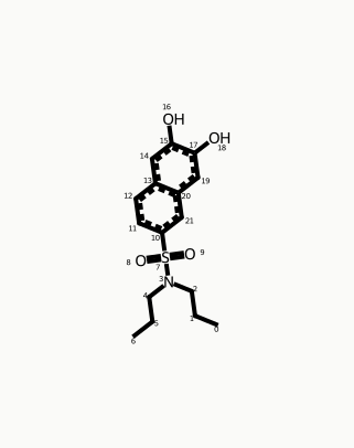 CCCN(CCC)S(=O)(=O)c1ccc2cc(O)c(O)cc2c1